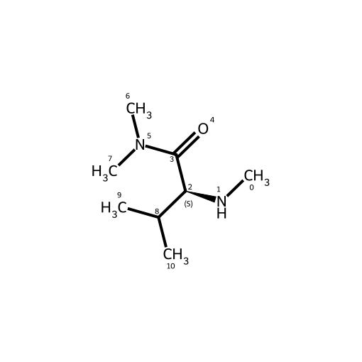 CN[C@H](C(=O)N(C)C)C(C)C